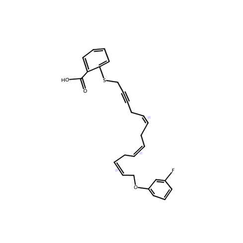 O=C(O)c1ccccc1SCC#CC/C=C\C/C=C\C/C=C\COc1cccc(F)c1